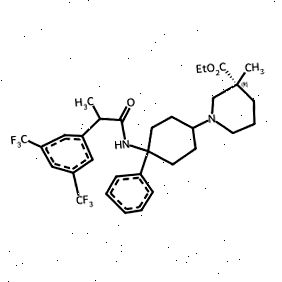 CCOC(=O)[C@]1(C)CCCN(C2CCC(NC(=O)C(C)c3cc(C(F)(F)F)cc(C(F)(F)F)c3)(c3ccccc3)CC2)C1